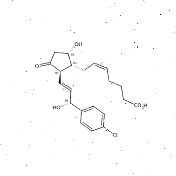 O=C(O)CCC/C=C\C[C@H]1[C@@H](O)CC(=O)[C@@H]1/C=C/[C@@H](O)c1ccc(Cl)cc1